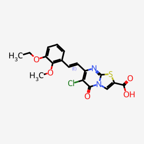 CCOc1cccc(/C=C/c2nc3sc(C(=O)O)cn3c(=O)c2Cl)c1OC